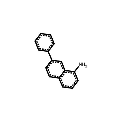 Nc1cccc2ccc(-c3ccccc3)cc12